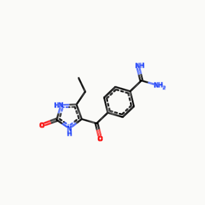 CCc1[nH]c(=O)[nH]c1C(=O)c1ccc(C(=N)N)cc1